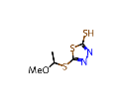 COC(C)Sc1nnc(S)s1